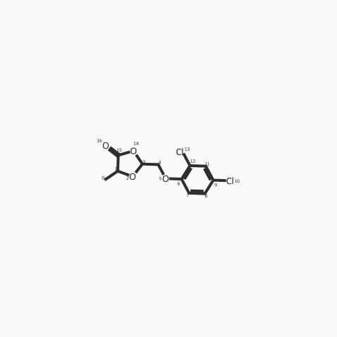 CC1OC(COc2ccc(Cl)cc2Cl)OC1=O